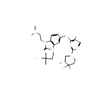 C[C@H]1CN(c2ncc(Cl)c(Nc3ccc4c(c3)n(CCC(C)(C)O)c(=O)n4CCN(C)C)n2)C[C@H](C)C1(F)F